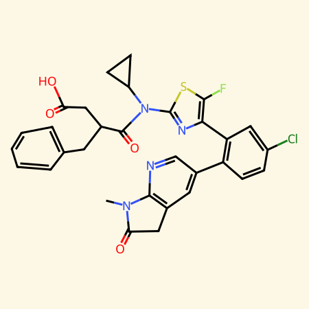 CN1C(=O)Cc2cc(-c3ccc(Cl)cc3-c3nc(N(C(=O)C(CC(=O)O)Cc4ccccc4)C4CC4)sc3F)cnc21